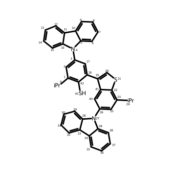 CC(C)c1cc(-n2c3ccccc3c3ccccc32)cc(-c2csc3c(C(C)C)cc(-n4c5ccccc5c5ccccc54)cc23)c1S